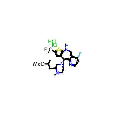 COC(C)CC1CN(C2=c3nccc(F)c3=CNc3sc(C(F)(F)F)cc32)CCN1C.Cl.Cl